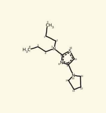 CCCN(CCC)c1nc(N2CCCC2)cs1